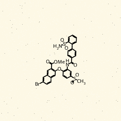 COC(=O)c1cc2cc(Br)ccc2cc1Oc1ccc(S(C)(=O)=O)cc1NC(=O)c1ccc(-c2ccccc2S(N)(=O)=O)cc1